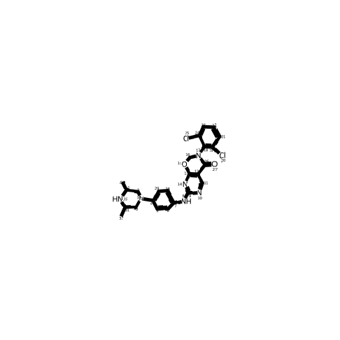 CC1CN(c2ccc(Nc3ncc4c(n3)OCN(c3c(Cl)cccc3Cl)C4=O)cc2)CC(C)N1